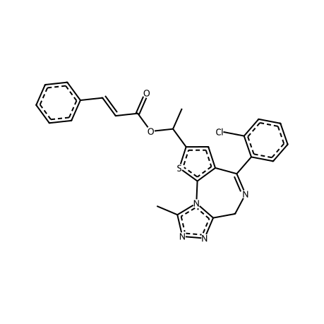 Cc1nnc2n1-c1sc(C(C)OC(=O)C=Cc3ccccc3)cc1C(c1ccccc1Cl)=NC2